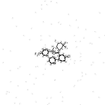 C[C@@H]1CC(F)(F)CN(C(=O)c2cc(Cl)ccc2-c2ncccn2)[C@@H]1CNc1ncc(C(F)(F)F)cn1